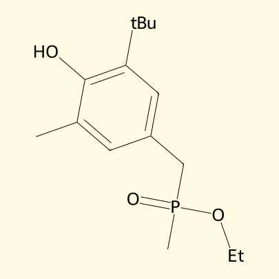 CCOP(C)(=O)Cc1cc(C)c(O)c(C(C)(C)C)c1